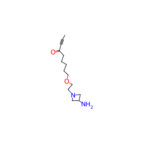 CC#CC(=O)CCCCCOCCN1CC(N)C1